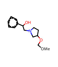 COCOC1CCN(CC(O)c2ccccc2)C1